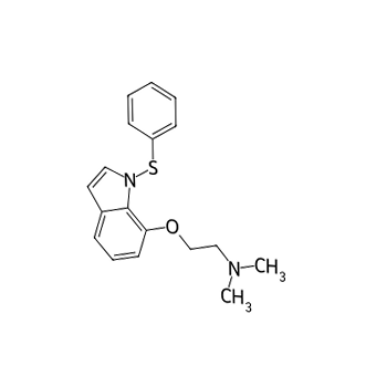 CN(C)CCOc1cccc2ccn(Sc3ccccc3)c12